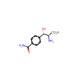 NC(=O)c1ccc([C@H](O)[C@H](N)C(=O)O)cc1